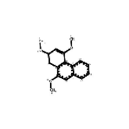 COC1=CC(OC)Cc2c(OC)cc3ccccc3c21